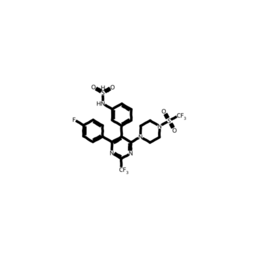 O=[SH](=O)Nc1cccc(-c2c(-c3ccc(F)cc3)nc(C(F)(F)F)nc2N2CCN(S(=O)(=O)C(F)(F)F)CC2)c1